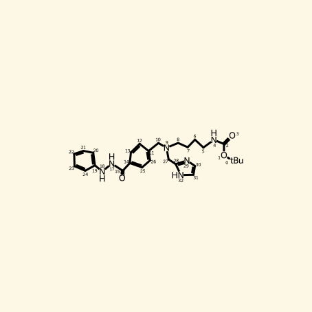 CC(C)(C)OC(=O)NCCCCN(Cc1ccc(C(=O)NNc2ccccc2)cc1)Cc1ncc[nH]1